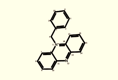 c1ccc(C[n+]2c3ccccc3nc3ccccc32)cc1